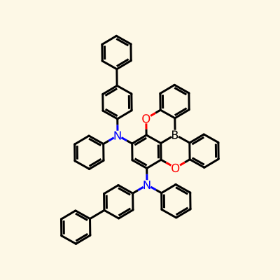 c1ccc(-c2ccc(N(c3ccccc3)c3cc(N(c4ccccc4)c4ccc(-c5ccccc5)cc4)c4c5c3Oc3ccccc3B5c3ccccc3O4)cc2)cc1